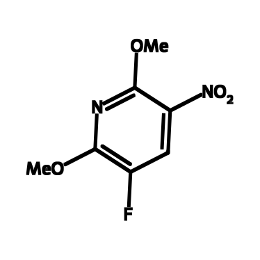 COc1nc(OC)c([N+](=O)[O-])cc1F